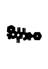 Cn1nc(-c2ccccc2)cc1NC(=O)N[C@@H]1c2ccccc2C(C)(C)C[C@H]1O